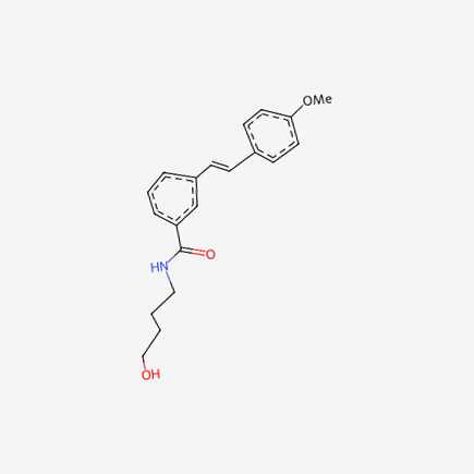 COc1ccc(C=Cc2cccc(C(=O)NCCCCO)c2)cc1